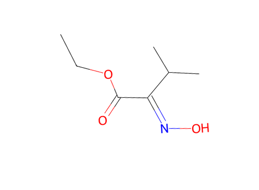 CCOC(=O)/C(=N/O)C(C)C